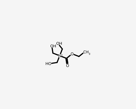 CCOC(=O)[N+](CO)(CO)CO